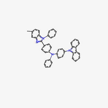 Cc1ccc2c(c1)nc(-c1ccc(N(c3ccccc3)c3ccc(-n4c5ccccc5c5ccccc54)cc3)cc1)n2-c1ccccc1